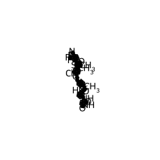 C[C@H](C(=O)Nc1cccc(NC2CCC(=O)NC2=O)c1)N1CCN(CCOc2ccc(N3C(=S)N(c4ccc(C#N)c(C(F)(F)F)c4)C(=O)C3(C)C)cc2Cl)CC1